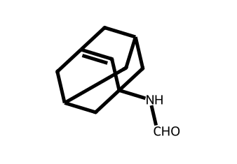 O=CNC12C=C3CC(CC(C3)C1)C2